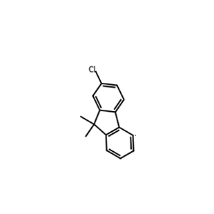 CC1(C)c2ccc[c]c2-c2ccc(Cl)cc21